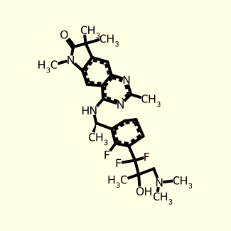 Cc1nc(N[C@H](C)c2cccc(C(F)(F)C(C)(O)CN(C)C)c2F)c2cc3c(cc2n1)C(C)(C)C(=O)N3C